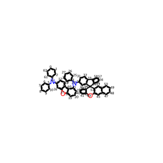 c1ccc(N(c2ccccc2)c2ccc3c(c2)oc2cccc(N(c4ccccc4)c4ccc5c(c4)C4(c6ccccc6Oc6cc7ccccc7cc64)c4ccccc4-5)c23)cc1